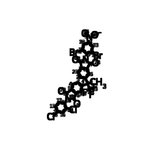 CC(c1ccc2c(c1)C(=O)N(c1ccc(Cl)cc1Cl)C2=O)(c1ccc2c(c1)C(=O)N(c1c(Br)cc([N+](=O)[O-])cc1Br)C2=O)C(F)(F)F